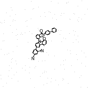 N#Cc1ccc(-c2ccc3c(c2)c2ccccc2n3-c2cccc3c2C(=O)N(c2ccc(-c4ccccc4)cc2)C3=O)c(C#N)c1